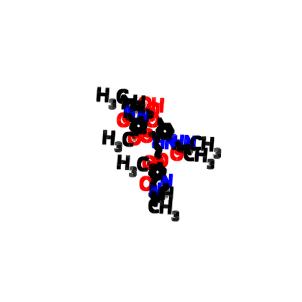 CN[C@@H](C)C(=O)CNc1ccc(COC(=O)N2c3cc(OCCCCCOc4cc5c(cc4OC)C(=O)N4C=C(C)C[C@H]4C=N5)c(OC)cc3C(=O)N3C=C(C)C[C@H]3[C@@H]2O)cc1